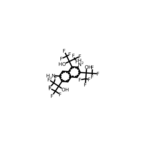 Nc1cc2c(C(O)(C(F)(F)F)C(F)(F)F)c(N)c(C(O)(C(F)(F)F)C(F)(F)F)cc2cc1C(O)(C(F)(F)F)C(F)(F)F